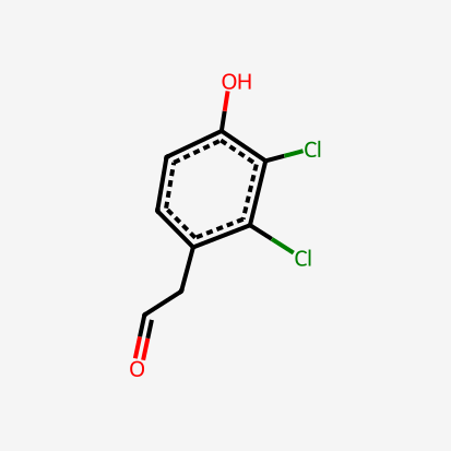 O=CCc1ccc(O)c(Cl)c1Cl